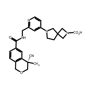 C[C@@]1(C#N)COCc2ccc(C(=O)NCc3cc(N4CCC5(CN(C(=O)O)C5)C4)ccn3)cc21